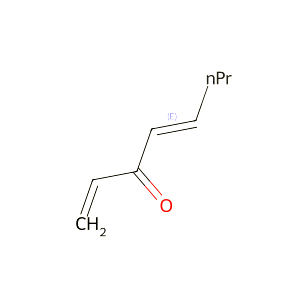 C=CC(=O)/C=C/CCC